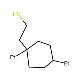 CCC1CCC(CC)(CCS)CC1